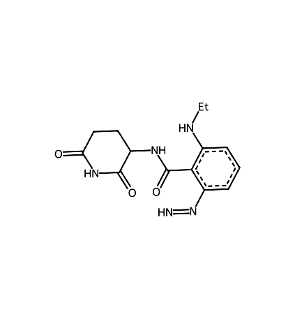 CCNc1cccc(N=N)c1C(=O)NC1CCC(=O)NC1=O